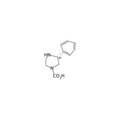 O=C(O)N1CCN[C@H](c2ccccc2)C1